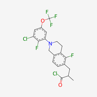 CC(Cc1ccc2c(c1F)CCN(c1cc(OC(F)(F)F)cc(Cl)c1F)C2)C(=O)Cl